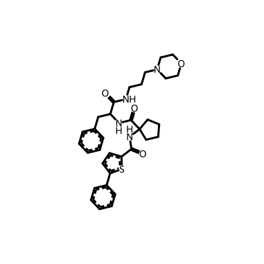 O=C(NC1(C(=O)NC(Cc2ccccc2)C(=O)NCCCN2CCOCC2)CCCC1)c1ccc(-c2ccccc2)s1